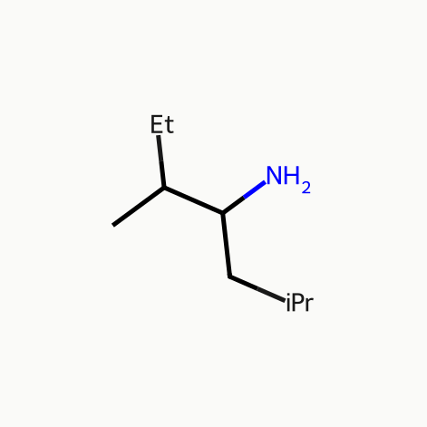 CCC(C)C(N)CC(C)C